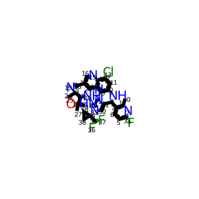 Cc1nc(F)ccc1[C@H](Nc1cc(Cl)c2ncc(C#N)c(NC3CCOC3(C)C)c2c1)C1=CN(C2(C(F)F)CC2)NN1